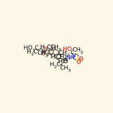 C=C(C)[C@@H]1CC[C@]2(NC[C@H]([C@@H](C)O)N3CCS(=O)(=O)CC3)CC[C@]3(C)[C@H](CC[C@@H]4[C@@]5(C)CC[C@H](OC(=O)CC(C)(C)C(=O)O)C(C)(C)[C@@H]5CC[C@]43C)[C@@H]12